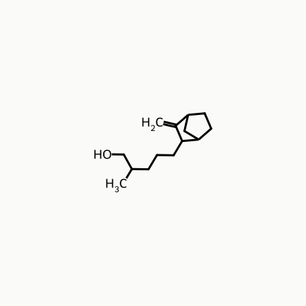 C=C1C2CCC(C2)C1CCCC(C)CO